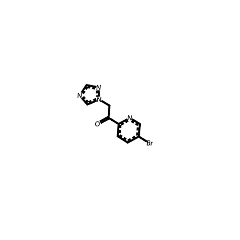 O=C(Cn1cncn1)c1ccc(Br)cn1